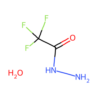 NNC(=O)C(F)(F)F.O